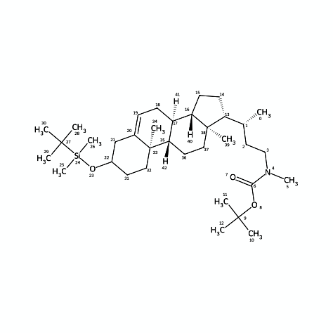 C[C@H](CCN(C)C(=O)OC(C)(C)C)[C@H]1CC[C@H]2[C@@H]3CC=C4CC(O[Si](C)(C)C(C)(C)C)CC[C@]4(C)[C@H]3CC[C@]12C